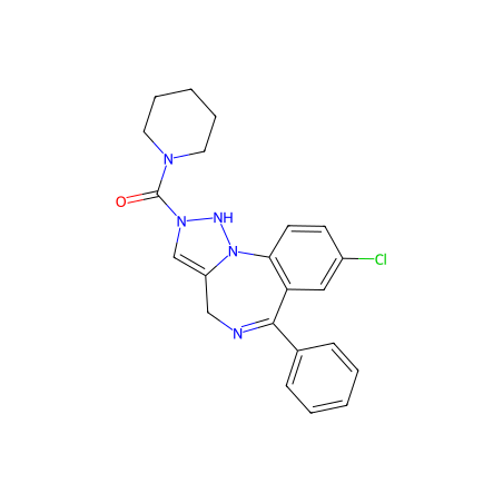 O=C(N1CCCCC1)N1C=C2CN=C(c3ccccc3)c3cc(Cl)ccc3N2N1